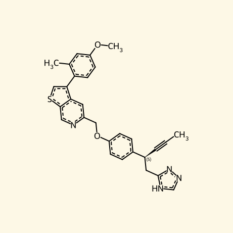 CC#C[C@@H](Cc1nnc[nH]1)c1ccc(OCc2cc3c(-c4ccc(OC)cc4C)csc3cn2)cc1